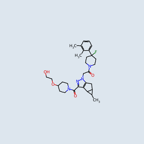 Cc1cccc(C2(F)CCN(C(=O)Cn3nc(C(=O)N4CCC(OCCO)CC4)c4c3CC3C(C)C43)CC2)c1C